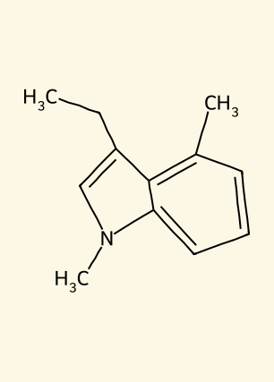 CCc1cn(C)c2cccc(C)c12